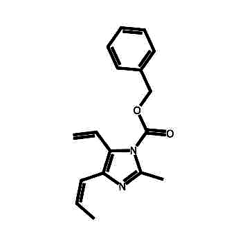 C=Cc1c(/C=C\C)nc(C)n1C(=O)OCc1ccccc1